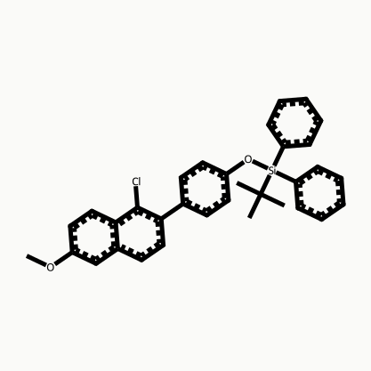 COc1ccc2c(Cl)c(-c3ccc(O[Si](c4ccccc4)(c4ccccc4)C(C)(C)C)cc3)ccc2c1